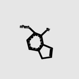 CCCCCc1ccc2c(c1Br)C=CC2